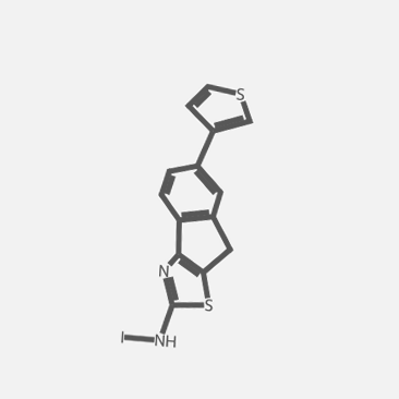 INc1nc2c(s1)Cc1cc(-c3ccsc3)ccc1-2